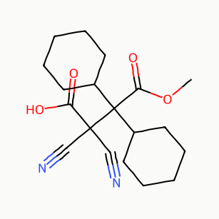 COC(=O)C(C1CCCCC1)(C1CCCCC1)C(C#N)(C#N)C(=O)O